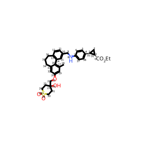 CCOC(=O)[C@H]1C[C@@H]1c1ccc(NCc2ccc3c(c2)-c2c(C)cc(OCC4(O)CCS(=O)(=O)CC4)cc2CCC3)cc1